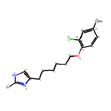 CCc1nc(CCCCCCOc2ccc(OC)cc2Cl)c[nH]1